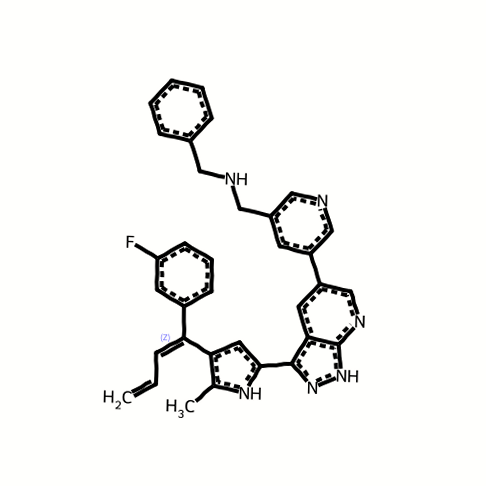 C=C/C=C(/c1cccc(F)c1)c1cc(-c2n[nH]c3ncc(-c4cncc(CNCc5ccccc5)c4)cc23)[nH]c1C